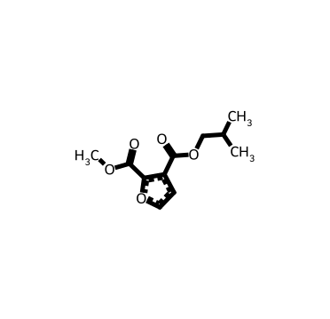 COC(=O)c1occc1C(=O)OCC(C)C